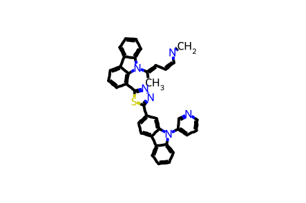 C=N/C=C\C=C(/C)n1c2ccccc2c2cccc(-c3nnc(-c4ccc5c6ccccc6n(-c6cccnc6)c5c4)s3)c21